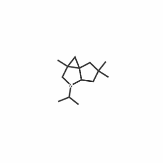 CC(C)N1CC2(C)CC23CC(C)(C)CC13